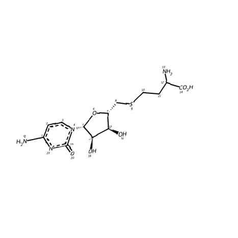 Nc1ccn([C@@H]2O[C@H](CSCCC(N)C(=O)O)[C@@H](O)[C@H]2O)c(=O)n1